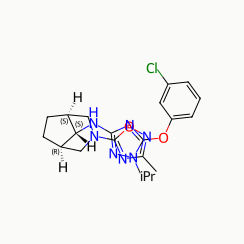 Cc1noc(N2C[C@H]3CC[C@@H](C2)[C@@H]3Nc2nc(Oc3cccc(Cl)c3)n(C(C)C)n2)n1